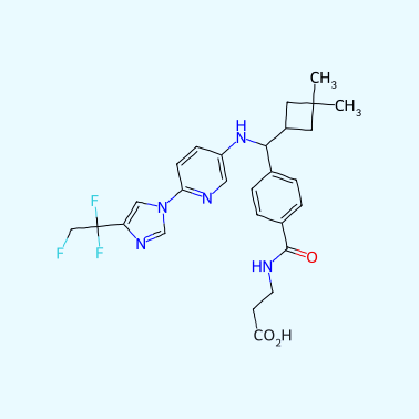 CC1(C)CC(C(Nc2ccc(-n3cnc(C(F)(F)CF)c3)nc2)c2ccc(C(=O)NCCC(=O)O)cc2)C1